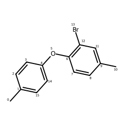 Cc1ccc(Oc2ccc(C)cc2Br)cc1